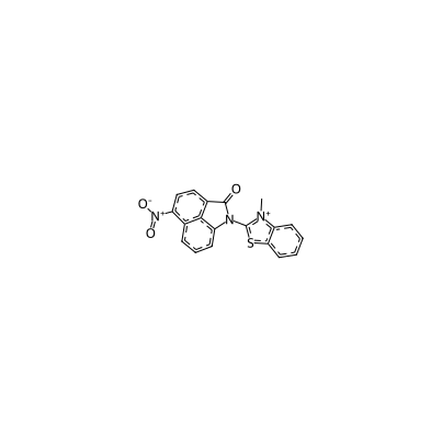 C[n+]1c(N2C(=O)c3ccc([N+](=O)[O-])c4cccc2c34)sc2ccccc21